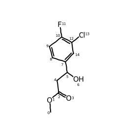 COC(=O)CC(O)c1ccc(F)c(Cl)c1